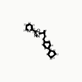 C=C(CCc1ccc(-c2ccccc2)cc1)c1nnc(-c2ccccn2)o1